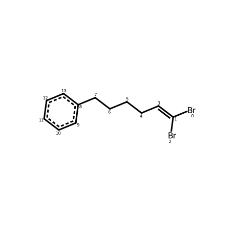 BrC(Br)=CCCCCc1ccccc1